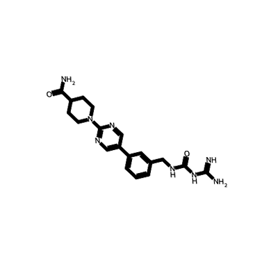 N=C(N)NC(=O)NCc1cccc(-c2cnc(N3CCC(C(N)=O)CC3)nc2)c1